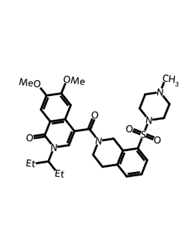 CCC(CC)n1cc(C(=O)N2CCc3cccc(S(=O)(=O)N4CCN(C)CC4)c3C2)c2cc(OC)c(OC)cc2c1=O